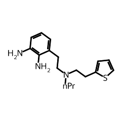 CCCN(CCc1cccs1)CCc1cccc(N)c1N